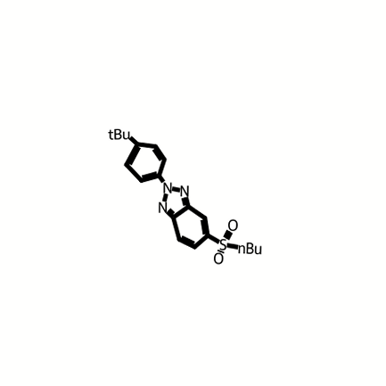 CCCCS(=O)(=O)c1ccc2nn(-c3ccc(C(C)(C)C)cc3)nc2c1